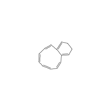 C1=c2ccccccccc2=CCC1